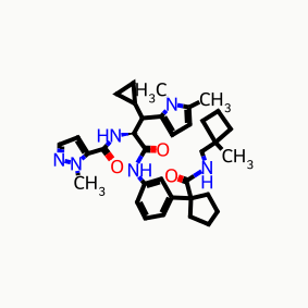 Cc1ccc(C(C2CC2)[C@H](NC(=O)c2ccnn2C)C(=O)Nc2cccc(C3(C(=O)NCC4(C)CCC4)CCCC3)c2)n1C